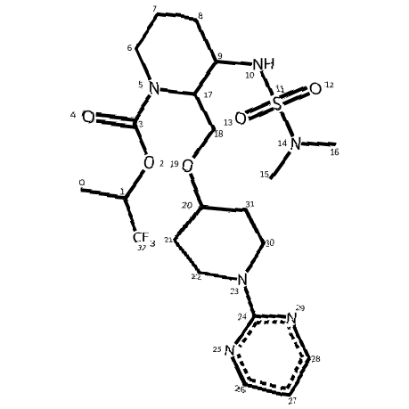 CC(OC(=O)N1CCCC(NS(=O)(=O)N(C)C)C1COC1CCN(c2ncccn2)CC1)C(F)(F)F